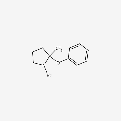 CCN1CCCC1(Oc1ccccc1)C(F)(F)F